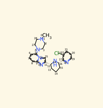 CN1CCN(c2cccc3nc([C@H]4CCC[C@@H](c5ncccc5Cl)N4)cn23)CC1